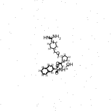 N=C(N)N1CCC(COC[C@@H]2CCCN2C(=O)[C@H](CO)NS(=O)(=O)c2ccc3ccccc3c2)CC1